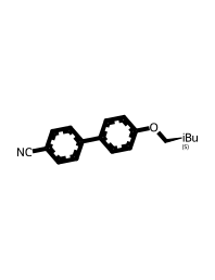 CC[C@H](C)COc1ccc(-c2ccc(C#N)cc2)cc1